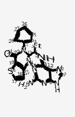 CCC(Nc1nc(N)nc2[nH]cnc12)c1nc2ccsc2c(=O)n1-c1ccccc1